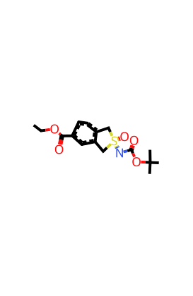 CCOC(=O)c1ccc2c(c1)CS(=O)(=NC(=O)OC(C)(C)C)C2